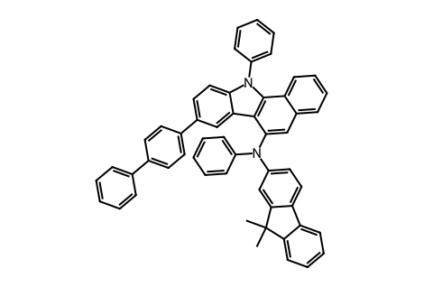 CC1(C)c2ccccc2-c2ccc(N(c3ccccc3)c3cc4ccccc4c4c3c3cc(-c5ccc(-c6ccccc6)cc5)ccc3n4-c3ccccc3)cc21